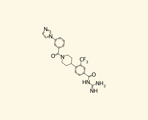 N=C(N)NC(=O)c1ccc(C2CCN(C(=O)c3cccc(-n4ccnc4)c3)CC2)c(C(F)(F)F)c1